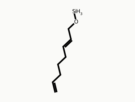 C=CCCCC=CCO[SiH3]